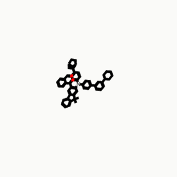 CC1(C)c2ccccc2-c2cc(-c3cccc4ccccc34)c(N(c3ccc(-c4cccc(C5CCCCC5)c4)cc3)c3ccc(C4CC5CCC4C5)cc3)cc21